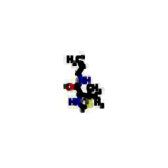 C=CCNC(=O)C1NCSC1(C)C